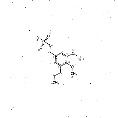 CCCc1cc(COS(C)(=O)=O)cc(OC)c1OC